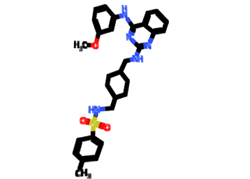 COc1cccc(Nc2nc(NCC3CCC(CNS(=O)(=O)c4ccc(C)cc4)CC3)nc3ccccc23)c1